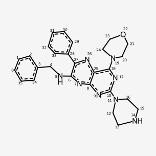 c1ccc(CNc2nc3nc(N4CCNCC4)nc(N4CCOCC4)c3nc2-c2ccccc2)cc1